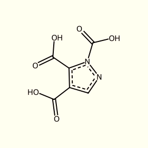 O=C(O)c1cnn(C(=O)O)c1C(=O)O